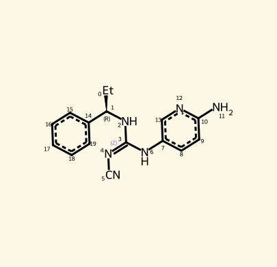 CC[C@@H](N/C(=N/C#N)Nc1ccc(N)nc1)c1ccccc1